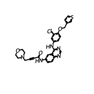 O=C(C#CCN1CCOCC1)Nc1ccc2ncnc(Nc3ccc(OCc4ccsc4)c(Cl)c3)c2c1